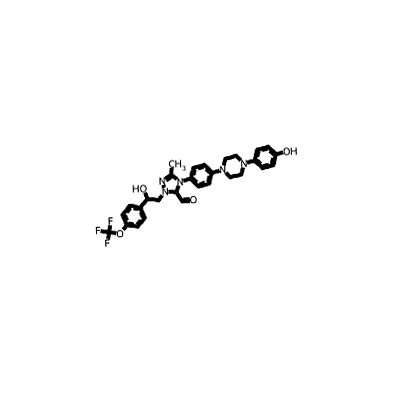 CC1=NN(CC(O)c2ccc(OC(F)(F)F)cc2)C(C=O)N1c1ccc(N2CCN(c3ccc(O)cc3)CC2)cc1